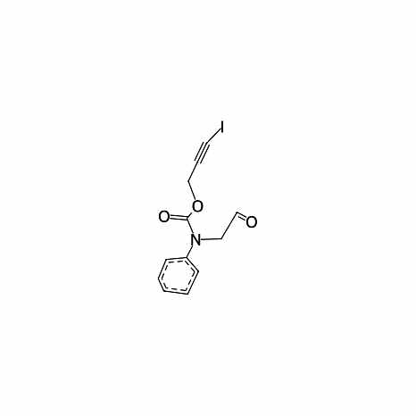 O=CCN(C(=O)OCC#CI)c1ccccc1